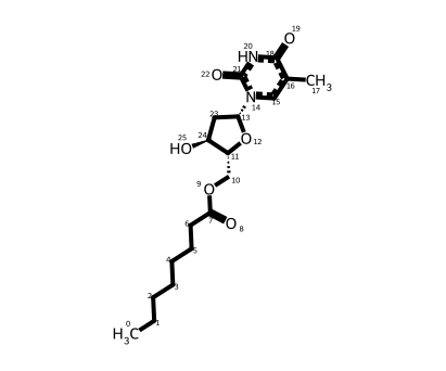 CCCCCCCC(=O)OC[C@H]1O[C@@H](n2cc(C)c(=O)[nH]c2=O)C[C@@H]1O